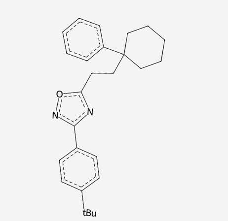 CC(C)(C)c1ccc(-c2noc(CCC3(c4ccccc4)CCCCC3)n2)cc1